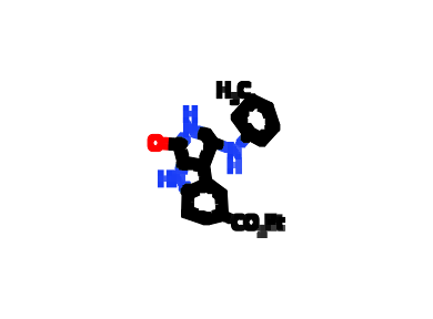 CCOC(=O)c1ccc2[nH]c3c(=O)[nH]cc(Nc4cccc(C)c4)c3c2c1